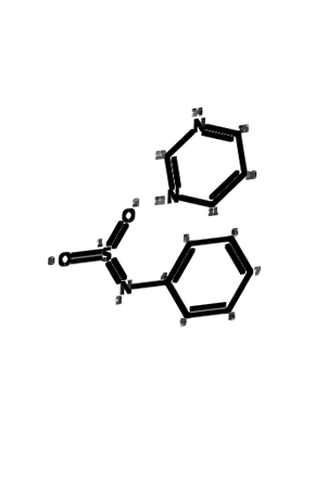 O=S(=O)=Nc1ccccc1.c1cncnc1